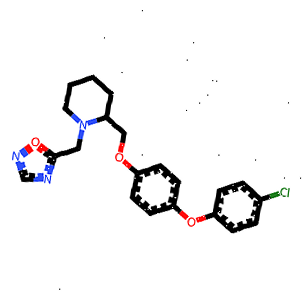 Clc1ccc(Oc2ccc(OCC3CCCCN3Cc3ncno3)cc2)cc1